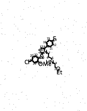 CCOCCNCCCn1c(-c2ccc(F)cc2)cs/c1=N\c1ccc(Cl)cc1OC